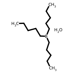 CCCCCB(CCCCC)CCCCC.O